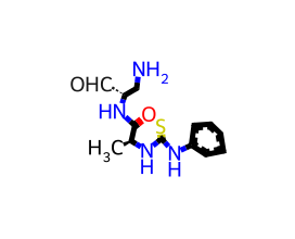 C[C@H](NC(=S)Nc1ccccc1)C(=O)N[C@H](C=O)CN